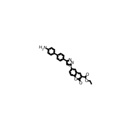 CCOC(=O)c1cc2cc(-n3cc(-c4ccc(-c5ccc(N)cc5)cc4)nn3)ccc2oc1=O